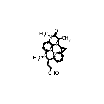 CC1C(=O)N(C)c2ccc(N(C)C(CCC=O)c3ccccn3)nc2N1C1CC1